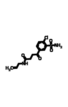 C=CCNC(=O)CCC(=O)c1ccc(Cl)c(S(N)(=O)=O)c1